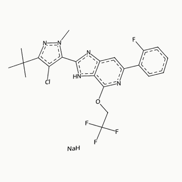 Cn1nc(C(C)(C)C)c(Cl)c1-c1nc2cc(-c3ccccc3F)nc(OCC(F)(F)F)c2[nH]1.[NaH]